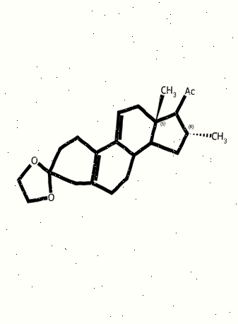 CC(=O)C1[C@H](C)CC2C3CCC4=C(CCC5(C4)OCCO5)C3=CC[C@@]21C